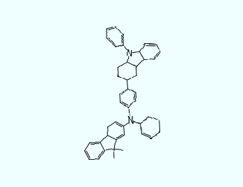 CC1(C)C2=CC(N(c3ccc(C4CCC5C(C4)C4C=CC=CC4N5c4ccccc4)cc3)C3C=CCCC3)=CCC2c2ccccc21